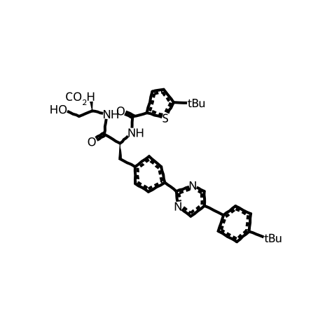 CC(C)(C)c1ccc(-c2cnc(-c3ccc(C[C@H](NC(=O)c4ccc(C(C)(C)C)s4)C(=O)N[C@@H](CO)C(=O)O)cc3)nc2)cc1